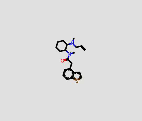 C=CCN(C)C1CCCCC1N(C)C(=O)Cc1cccc2sccc12